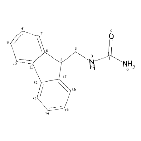 NC(=O)NCC1c2ccccc2-c2ccccc21